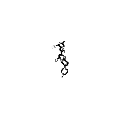 CCc1nc(C)cn2nc(-c3cc(=O)n4cc(N5CCCN(C)CC5)ccc4n3)cc12